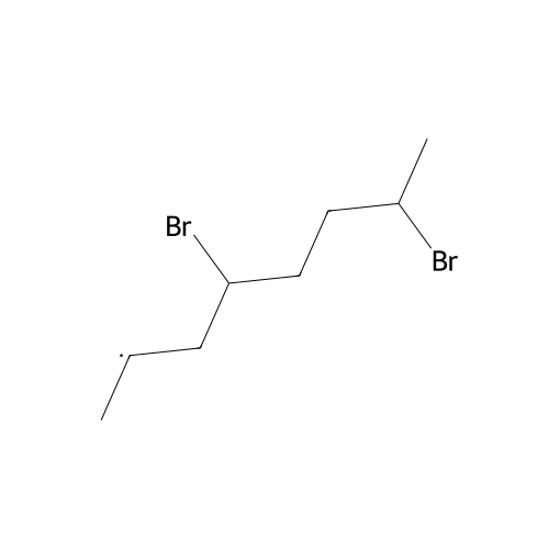 C[CH]CC(Br)CCC(C)Br